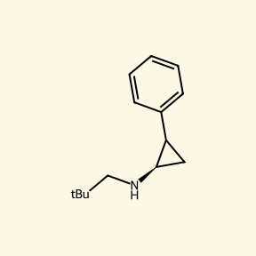 CC(C)(C)CN[C@@H]1CC1c1ccccc1